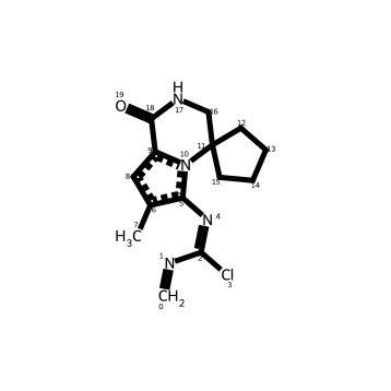 C=N/C(Cl)=N\c1c(C)cc2n1C1(CCCC1)CNC2=O